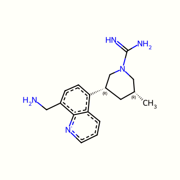 C[C@@H]1C[C@H](c2ccc(CN)c3ncccc23)CN(C(=N)N)C1